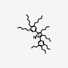 CCCCCc1cc(C2=C(CCCC)C(CCCC)=C(c3cc(CCC)c(CCC)c(CCC)c3)[N+]2=[N-])cc(CCCCC)c1CCCCC